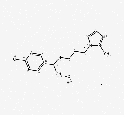 Cc1nccn1CCCNC(C)c1ccc(Cl)cc1.Cl.Cl